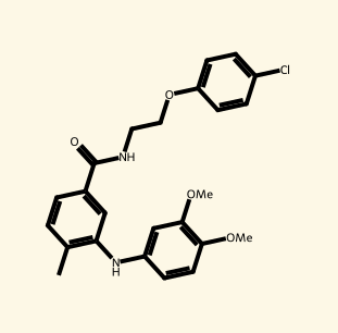 COc1ccc(Nc2cc(C(=O)NCCOc3ccc(Cl)cc3)ccc2C)cc1OC